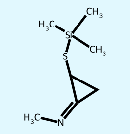 C/N=C1/CC1S[Si](C)(C)C